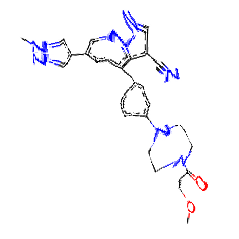 COCC(=O)N1CCN(c2ccc(-c3cc(-c4cnn(C)c4)cn4ncc(C#N)c34)cc2)CC1